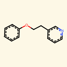 [c]1ccc(OCCc2cccnc2)cc1